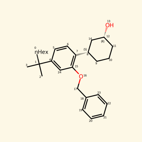 CCCCCCC(C)(C)c1ccc([C@H]2CCC[C@@H](O)C2)c(OCc2ccccc2)c1